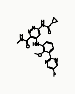 CNC(=O)c1nnc(NC(=O)C2CC2)cc1Nc1cccc(-c2ncc(F)cn2)c1OC